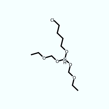 CCOCO[SiH](OCCCCCl)OCOCC